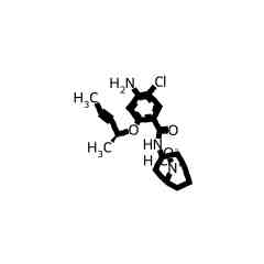 CC#C[C@H](C)Oc1cc(N)c(Cl)cc1C(=O)NC1CC2CCC(C1)[N+]2(C)[O-]